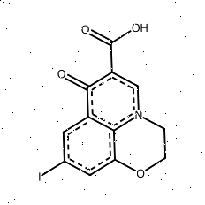 O=C(O)c1cn2c3c(cc(I)cc3c1=O)OCC2